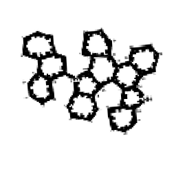 c1ccc2c(c1)cc(-n1c3ccccc3c3c4c(c5ccccc5c5[nH]c6ccccc6c54)c4ccccc4c31)c1ccccc12